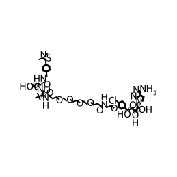 Cc1ncsc1-c1ccc(CNC(=O)[C@@H]2C[C@@H](O)CN2C(=O)[C@@H](NC(=O)CCOCCOCCOCCOCCC(=O)NCCOc2cc([C@@H](O)[C@H]3O[C@@H](n4ccc5c(N)ncnc54)[C@H](O)[C@@H]3O)ccc2Cl)C(C)(C)C)cc1